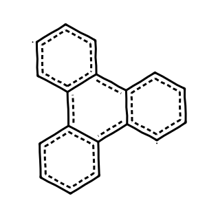 [c]1ccc2c3ccc[c]c3c3ccccc3c2c1